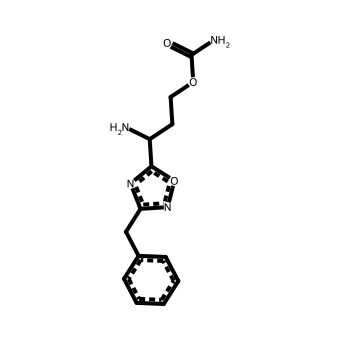 NC(=O)OCCC(N)c1nc(Cc2ccccc2)no1